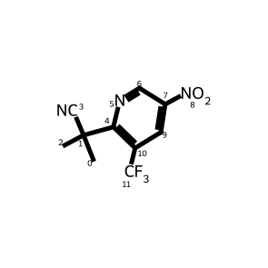 CC(C)(C#N)c1ncc([N+](=O)[O-])cc1C(F)(F)F